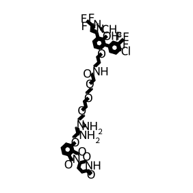 Cn1nc(C(F)(F)F)cc1-c1ccc(OCCCNC(=O)COCCOCCOCCN(N)/C=C(\N)COc2cccc3c2C(=O)N(C2CCC(=O)NC2=O)C3=O)c(-c2ccc(Cl)c(C(F)(F)F)c2)c1O